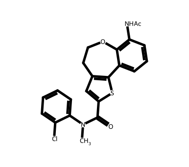 CC(=O)Nc1cccc2c1OCCc1cc(C(=O)N(C)c3ccccc3Cl)sc1-2